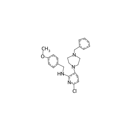 COc1ccc(CNc2nc(Cl)ccc2N2CCN(Cc3ccccc3)CC2)cc1